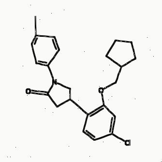 Cc1ccc(N2CC(c3ccc(Cl)cc3OCC3CCCC3)CC2=O)cc1